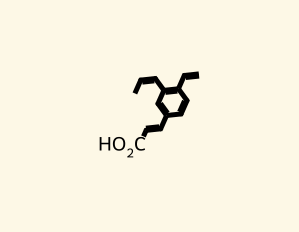 C=Cc1ccc(/C=C/C(=O)O)cc1/C=C\C